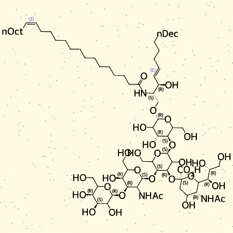 CCCCCCCC/C=C\CCCCCCCCCCCCCC(=O)N[C@@H](CO[C@@H]1OC(CO)[C@@H](O[C@@H]2OC(CO)[C@H](O[C@@H]3OC(CO)[C@H](O)[C@H](O[C@@H]4OC(CO)[C@H](O)[C@H](O)C4O)C3NC(C)=O)[C@H](O[C@]3(C(=O)O)CC(O)[C@@H](NC(C)=O)C([C@H](O)[C@H](O)CO)O3)C2O)[C@H](O)C1O)[C@H](O)/C=C/CCCCCCCCCCCCC